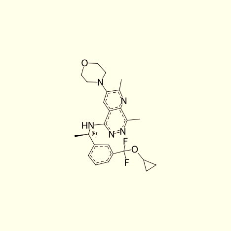 Cc1nc2c(C)nnc(N[C@H](C)c3cccc(C(F)(F)OC4CC4)c3)c2cc1N1CCOCC1